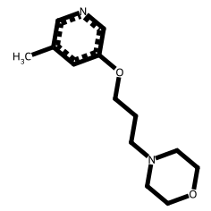 Cc1cncc(OCCCN2CCOCC2)c1